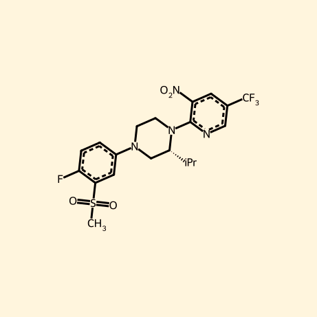 CC(C)[C@@H]1CN(c2ccc(F)c(S(C)(=O)=O)c2)CCN1c1ncc(C(F)(F)F)cc1[N+](=O)[O-]